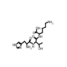 CC(O)C(NC(=O)C(N)Cc1c[nH]cn1)C(=O)NC(CCCCN)C(=O)O